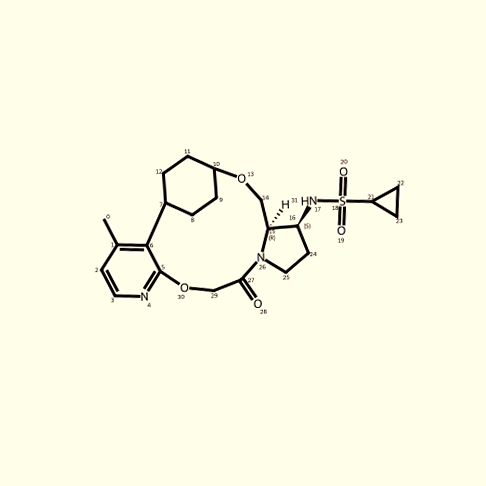 Cc1ccnc2c1C1CCC(CC1)OC[C@H]1[C@@H](NS(=O)(=O)C3CC3)CCN1C(=O)CO2